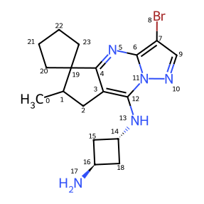 CC1Cc2c(nc3c(Br)cnn3c2N[C@H]2C[C@H](N)C2)C12CCCC2